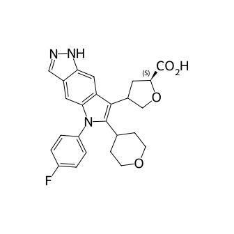 O=C(O)[C@@H]1CC(c2c(C3CCOCC3)n(-c3ccc(F)cc3)c3cc4cn[nH]c4cc23)CO1